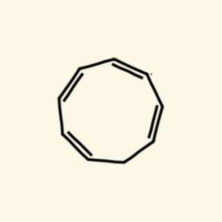 [C]1=C\C=C/C=C\C\C=C/1